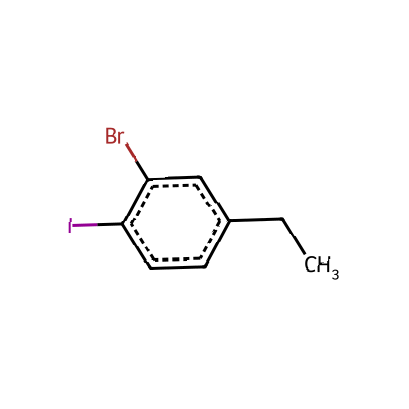 CCc1ccc(I)c(Br)c1